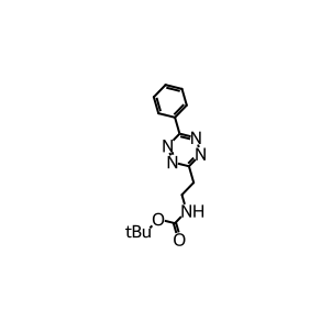 CC(C)(C)OC(=O)NCCc1nnc(-c2ccccc2)nn1